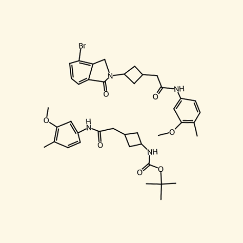 COc1cc(NC(=O)CC2CC(N3Cc4c(Br)cccc4C3=O)C2)ccc1C.COc1cc(NC(=O)CC2CC(NC(=O)OC(C)(C)C)C2)ccc1C